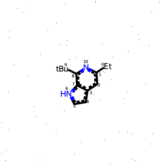 CCc1cc2cc[nH]c2c(C(C)(C)C)n1